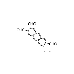 O=Cc1[c]c2cc3cc(C=O)c(C=O)cc3cc2cc1C=O